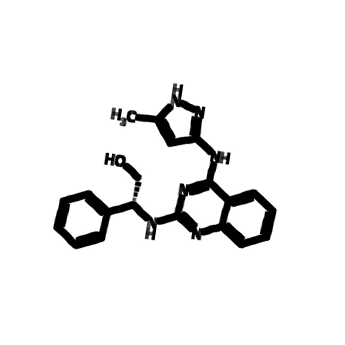 Cc1cc(Nc2nc(N[C@@H](CO)c3ccccc3)nc3ccccc23)n[nH]1